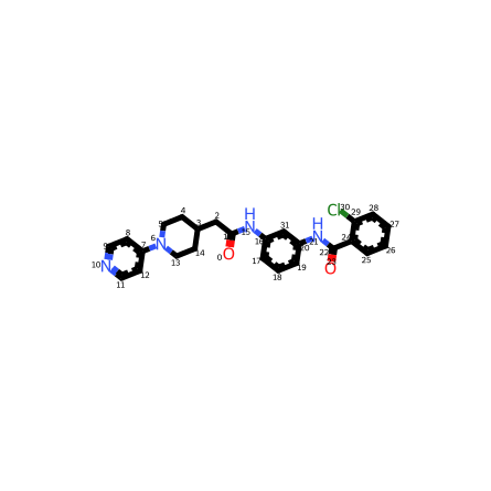 O=C(CC1CCN(c2ccncc2)CC1)Nc1cccc(NC(=O)c2ccccc2Cl)c1